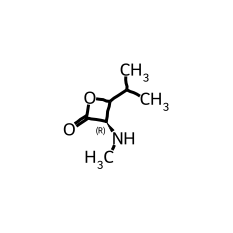 CN[C@H]1C(=O)OC1C(C)C